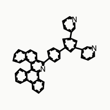 c1cncc(-c2cc(-c3ccc(-c4nc5c6ccccc6c6ccccc6c5c5c4ccc4ccccc45)cc3)cc(-c3cccnc3)c2)c1